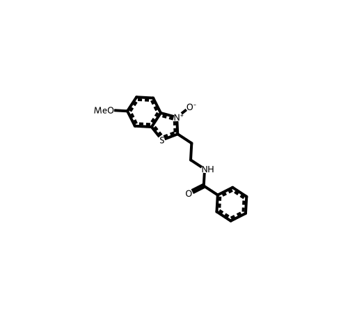 COc1ccc2c(c1)sc(CCNC(=O)c1ccccc1)[n+]2[O-]